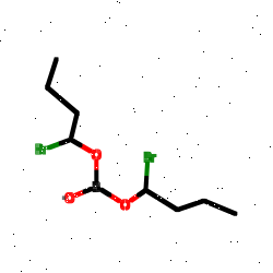 CCCC(Br)OB([O])OC(Br)CCC